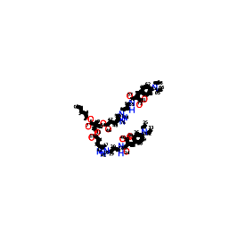 CCCCCOC(=O)C(C)(COC(=O)CCc1cn(CCCNC(=O)c2cc3ccc(N(CC)CC)cc3oc2=O)nn1)COC(=O)CCc1cn(CCCNC(=O)c2cc3ccc(N(CC)CC)cc3oc2=O)nn1